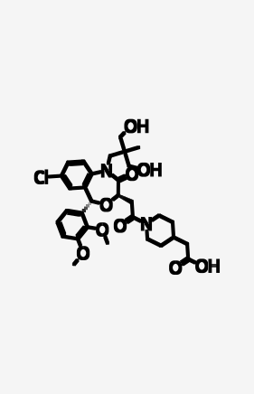 COc1cccc([C@H]2O[C@H](CC(=O)N3CCC(CC(=O)O)CC3)C(=O)N(CC(C)(CO)CO)c3ccc(Cl)cc32)c1OC